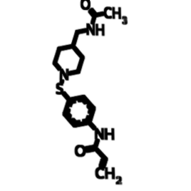 C=CC(=O)Nc1ccc(SN2CCC(CNC(C)=O)CC2)cc1